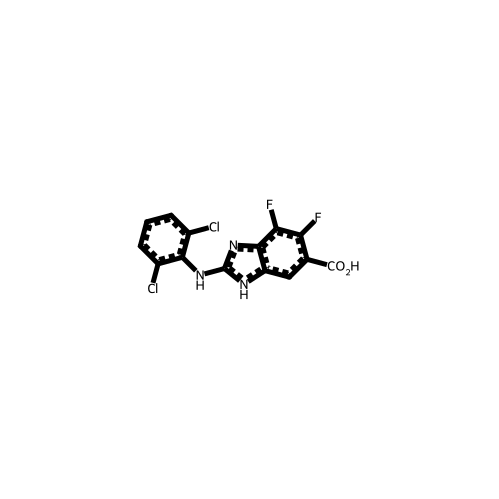 O=C(O)c1cc2[nH]c(Nc3c(Cl)cccc3Cl)nc2c(F)c1F